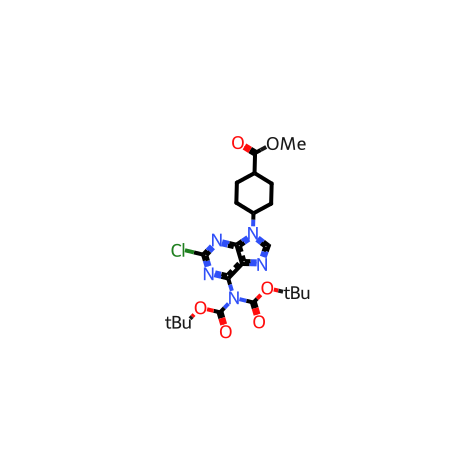 COC(=O)C1CCC(n2cnc3c(N(C(=O)OC(C)(C)C)C(=O)OC(C)(C)C)nc(Cl)nc32)CC1